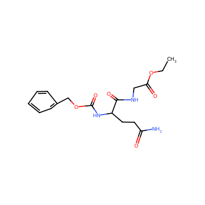 CCOC(=O)CNC(=O)C(CCC(N)=O)NC(=O)OCc1ccccc1